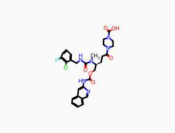 CN(C(=O)NCc1cccc(F)c1Cl)[C@@H](CCC(=O)N1CCN(C(=O)O)CC1)COC(=O)Nc1cc2ccccc2cn1